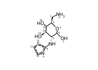 NC[C@H]1OC(O)[C@H](Nc2nccs2)[C@@H](O)[C@H]1O